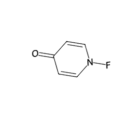 O=c1ccn(F)cc1